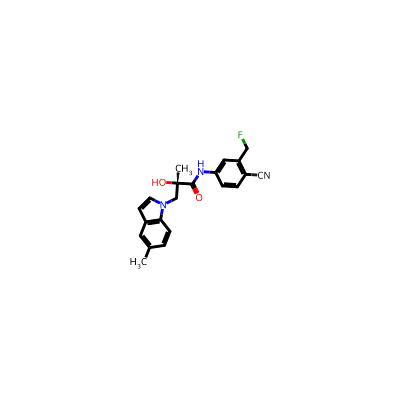 Cc1ccc2c(ccn2C[C@](C)(O)C(=O)Nc2ccc(C#N)c(CF)c2)c1